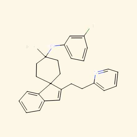 O=C(O)C1(Nc2cccc(Cl)c2)CCC2(CC1)C(CCc1ccccn1)=Cc1ccccc12